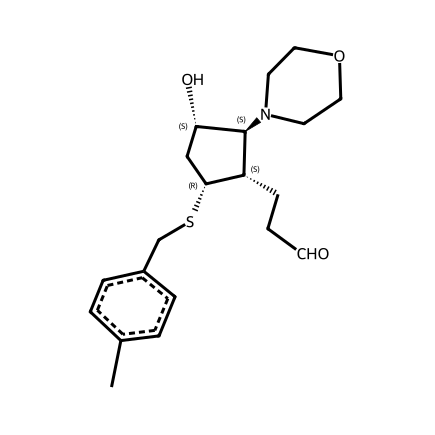 Cc1ccc(CS[C@@H]2C[C@H](O)[C@@H](N3CCOCC3)[C@@H]2CCC=O)cc1